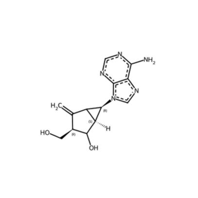 C=C1C2[C@H](C(O)[C@H]1CO)[C@@H]2n1cnc2c(N)ncnc21